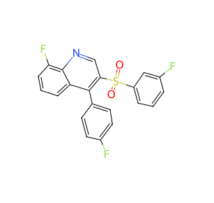 O=S(=O)(c1cccc(F)c1)c1cnc2c(F)cccc2c1-c1ccc(F)cc1